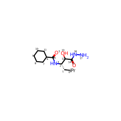 CC(C)C[C@H](NC(=O)C1CCCCC1)C(O)C(=O)NN